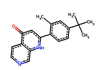 Cc1cc(C(C)(C)C)ccc1-c1cc(=O)c2ccncc2[nH]1